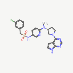 CN(c1ccc(NS(=O)(=O)Cc2cccc(F)c2)cn1)[C@@H]1CCN(c2ncnc3[nH]ccc23)C1